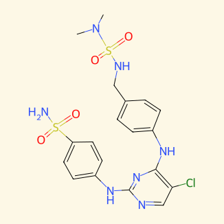 CN(C)S(=O)(=O)NCc1ccc(Nc2nc(Nc3ccc(S(N)(=O)=O)cc3)ncc2Cl)cc1